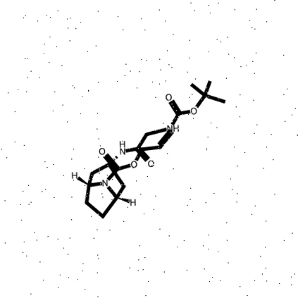 C=CCOC(=O)N1[C@@H]2CC[C@H]1C[C@@H](NC(=O)CNC(=O)OC(C)(C)C)C2